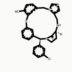 N#Cc1ccc2cc1Oc1cccc(c1)[C@H](c1cccc(Cl)c1)N1CC[C@H](NCc3cncn3C2)C1=O